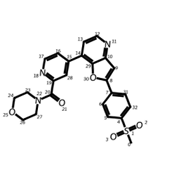 CS(=O)(=O)c1ccc(-c2cc3nccc(-c4ccnc(C(=O)N5CCOCC5)c4)c3o2)cc1